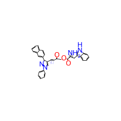 N[C@H](Cc1c[nH]c2ccccc12)C(=O)OCC(=O)/C=C/c1cn(-c2ccccc2)nc1-c1ccc2ccccc2c1